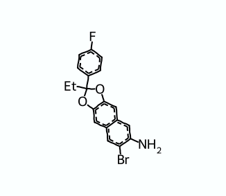 CCC1(c2ccc(F)cc2)Oc2cc3cc(N)c(Br)cc3cc2O1